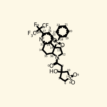 O=C(CC1(O)CCS(=O)(=O)C1)N1CCC2(S(=O)(=O)c3ccccc3)c3ccc(C(F)(C(F)(F)F)C(F)(F)F)nc3CCC12